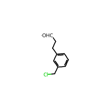 O=[C]CCc1cccc(CCl)c1